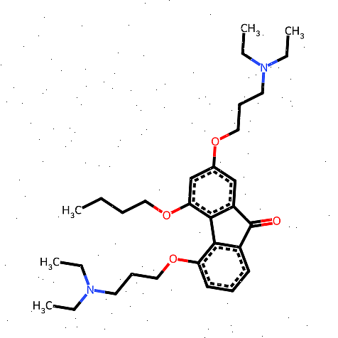 CCCCOc1cc(OCCCN(CC)CC)cc2c1-c1c(OCCCN(CC)CC)cccc1C2=O